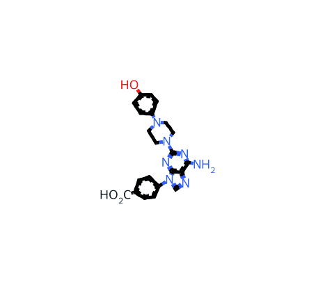 Nc1nc(N2CCN(c3ccc(O)cc3)CC2)nc2c1ncn2-c1ccc(C(=O)O)cc1